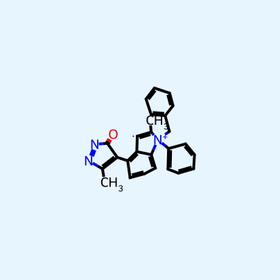 CC1=[C]c2c(C3=C(C)N=NC3=O)cccc2[N+]1(Cc1ccccc1)c1ccccc1